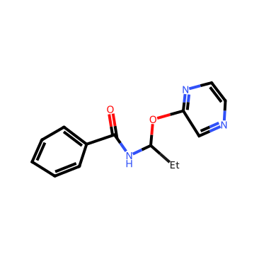 CCC(NC(=O)c1ccccc1)Oc1cnccn1